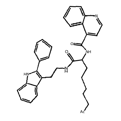 CC(=O)CCCCCC(NC(=O)c1ccnc2ccccc12)C(=O)NCCc1c(-c2ccccc2)[nH]c2ccccc12